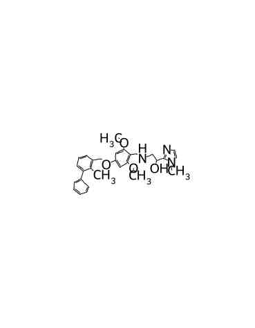 COc1cc(OCc2cccc(-c3ccccc3)c2C)cc(OC)c1CNCC(O)c1nccn1C